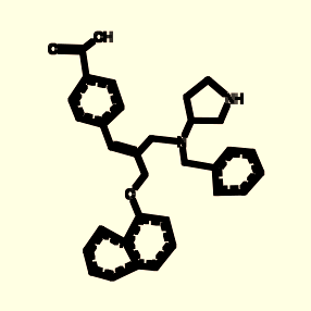 O=C(O)c1ccc(/C=C(/COc2cccc3ccccc23)CN(Cc2ccccc2)C2CCNC2)cc1